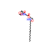 CCCCCCCCC=CCCCCCCCC(=O)NC(CC)COC(=O)CCNC(=O)C1OC(C)(C)OCC1(C)C